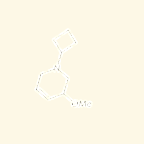 COC1C=CCN(C2CCC2)C1